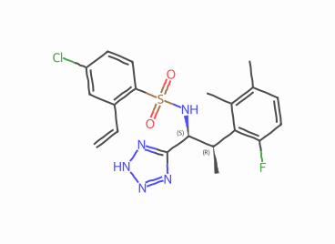 C=Cc1cc(Cl)ccc1S(=O)(=O)N[C@H](c1nn[nH]n1)[C@H](C)c1c(F)ccc(C)c1C